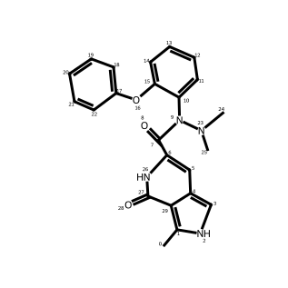 Cc1[nH]cc2cc(C(=O)N(c3ccccc3Oc3ccccc3)N(C)C)[nH]c(=O)c12